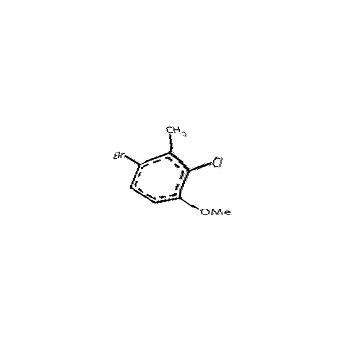 COc1ccc(Br)c(C)c1Cl